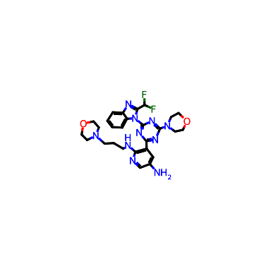 Nc1cnc(NCCCN2CCOCC2)c(-c2nc(N3CCOCC3)nc(-n3c(C(F)F)nc4ccccc43)n2)c1